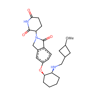 COC1CC(CN[C@H]2CCCC[C@H]2Oc2ccc3c(c2)CN(C2CCC(=O)NC2=O)C3=O)C1